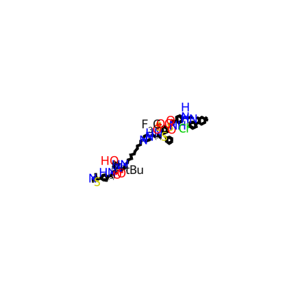 Cc1ncsc1-c1ccc([C@H](C)NC(=O)[C@@H]2C[C@@H](O)CN2C(=O)[C@@H](NCCCCCCCCCCN2CCN(CC[C@H](CSc3ccccc3)Nc3ccc(S(=O)(=O)NC(=O)c4ccc(NCCNCC5=C(c6ccc(Cl)cc6)CCC(C)(C)C5)cc4)cc3S(=O)(=O)C(F)(F)F)CC2)C(C)(C)C)cc1